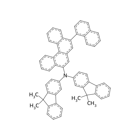 CC1(C)c2ccccc2-c2cc(N(c3ccc4c(c3)C(C)(C)c3ccccc3-4)c3cc4cc(-c5cccc6ccccc56)c5ccccc5c4c4ccccc34)ccc21